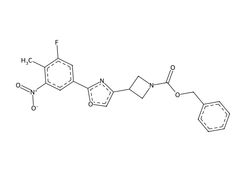 Cc1c(F)cc(-c2nc(C3CN(C(=O)OCc4ccccc4)C3)co2)cc1[N+](=O)[O-]